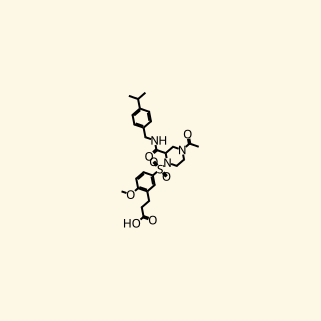 COc1ccc(S(=O)(=O)N2CCN(C(C)=O)CC2C(=O)NCc2ccc(C(C)C)cc2)cc1CCC(=O)O